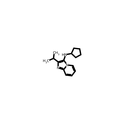 CC(C)c1nc2ccccn2c1NC1CCCC1